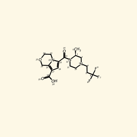 C[C@H]1CN(CCC(F)(F)F)CCN1C(=O)c1cc(C(=O)O)c2n1CCOC2